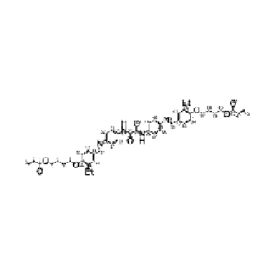 C=CC(=O)OCCCCOc1ccc(/C=N/c2ccc(NC(=O)C(=O)Nc3ccc(/N=C/c4ccc(OCCCCOC(=O)C=C)c(CC)c4)cc3)cc2)cc1CC